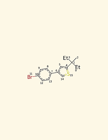 CCC(C)(CC)c1cc(-c2ccc(Br)cc2)cs1